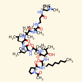 CCCCCCCC[C@H](NC(=O)[C@@H]1CCCN1C(C)=O)C(=O)N[C@H](C(=O)NC(C)(C)C(=O)N[C@@H](CC(C)C)C(=O)N[C@@H](CC(C)C)C(=O)NC(C)(C)C(=O)NC(C)(C)C(=O)NCCC(=O)N[C@@H](C)CN(C)C)[C@H](O)C(C)C